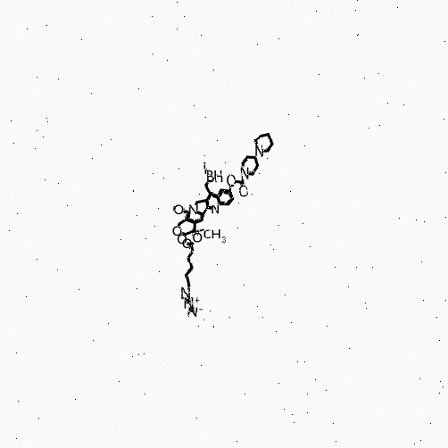 CC[C@@]1(OC(=O)CCCCCN=[N+]=[N-])C(=O)OCc2c1cc1n(c2=O)Cc2c-1nc1ccc(OC(=O)N3CCC(N4CCCCC4)CC3)cc1c2CBI